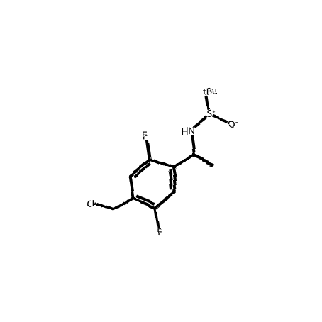 CC(N[S+]([O-])C(C)(C)C)c1cc(F)c(CCl)cc1F